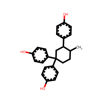 CC1CCC(c2ccc(O)cc2)(c2ccc(O)cc2)CC1c1ccc(O)cc1